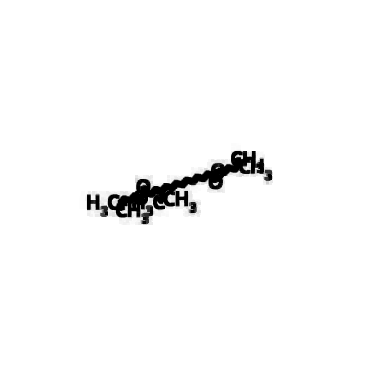 CC(C)CCCOC(=O)CCCCCCCCCC(CCC(=O)OCCCC(C)C)C(C)C